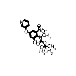 CN(C(=O)OC(C)(C)C)c1c(Cl)cc(Oc2cccnc2)cc1[N+](=O)[O-]